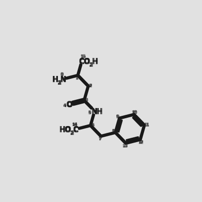 NC(CC(=O)NC(Cc1ccccc1)C(=O)O)C(=O)O